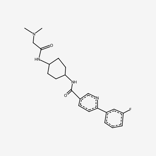 CN(C)CC(=O)NC1CCC(NC(=O)c2ccc(-c3cccc(F)c3)nc2)CC1